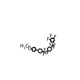 CCOc1ccc(C2CCC(C(F)(F)OC3CCC(C(F)(F)Oc4cc(F)c(F)c(F)c4)CC3)CC2)cc1